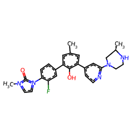 Cc1cc(-c2ccnc(N3CCN[C@H](C)C3)c2)c(O)c(-c2ccc(-n3ccn(C)c3=O)c(F)c2)c1